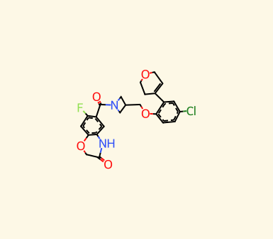 O=C1COc2cc(F)c(C(=O)N3CC(COc4ccc(Cl)cc4C4=CCOCC4)C3)cc2N1